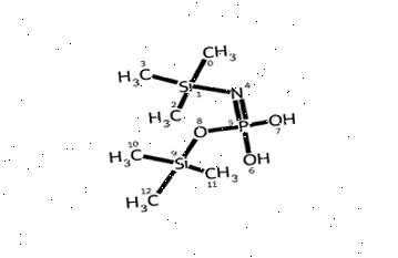 C[Si](C)(C)N=P(O)(O)O[Si](C)(C)C